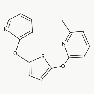 Cc1cccc(Oc2ccc(Oc3ccccn3)s2)n1